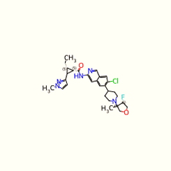 CC[C@H]1C(c2ccn(C)n2)[C@H]1C(=O)Nc1cc2cc(C3CCN([C@@]4(C)COC[C@H]4F)CC3)c(Cl)cc2cn1